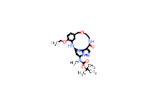 CCOc1ccc2cc1Nc1cc(N(C)C(=O)OC(C)(C)C)n3ncc(c3n1)C(=O)NCCOC2